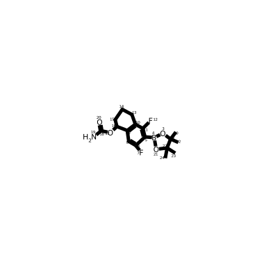 CC1(C)OB(c2c(F)cc3c(c2F)CCCC3OC(N)=O)OC1(C)C